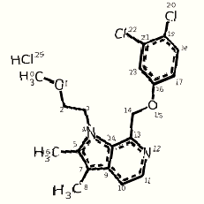 COCCn1c(C)c(C)c2ccnc(COc3ccc(Cl)c(Cl)c3)c21.Cl